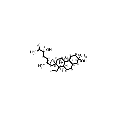 CC(C)[C@H](O)CC[C@@H](C)[C@H]1CC[C@H]2[C@@H]3CCC4C[C@@](C)(O)CC[C@]4(C)[C@H]3CC[C@]12C